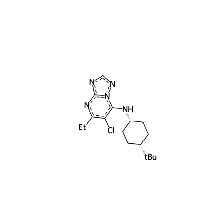 CCc1nc2ncnn2c(N[C@H]2CC[C@@H](C(C)(C)C)CC2)c1Cl